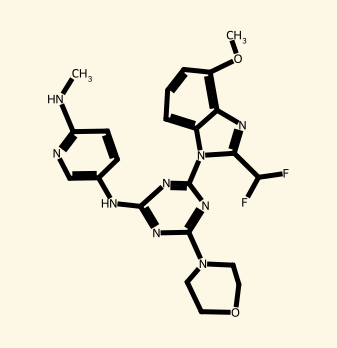 CNc1ccc(Nc2nc(N3CCOCC3)nc(-n3c(C(F)F)nc4c(OC)cccc43)n2)cn1